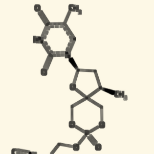 [C-]#[N+]CCOP1(=O)OCC2(CO1)O[C@@H](n1cc(C)c(=O)[nH]c1=O)C[C@H]2C